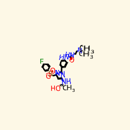 C[C@@H](CO)Nc1cc(CS(=O)(=O)c2ccc(F)cc2)nc(-c2ccc(NC(=O)NCCN(C)C)cc2)n1